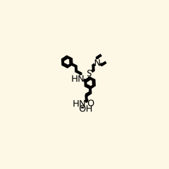 CCN(CC)CCSc1ccc(C=CC(=O)NO)cc1NCCCc1ccccc1